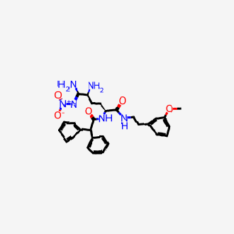 COc1cccc(CCNC(=O)[C@H](CCC(N)C(N)=N[N+](=O)[O-])NC(=O)C(c2ccccc2)c2ccccc2)c1